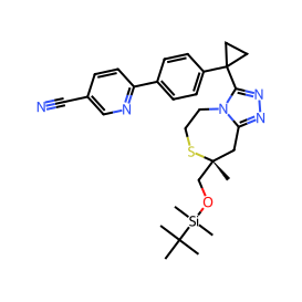 CC(C)(C)[Si](C)(C)OC[C@@]1(C)Cc2nnc(C3(c4ccc(-c5ccc(C#N)cn5)cc4)CC3)n2CCS1